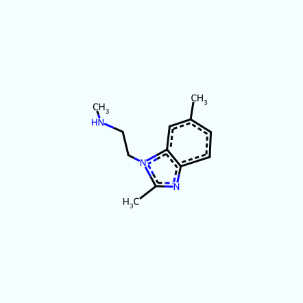 CNCCn1c(C)nc2ccc(C)cc21